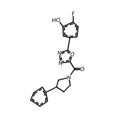 O=C(c1nnc(-c2ccc(F)c(O)c2)o1)N1CCC(c2ccccc2)C1